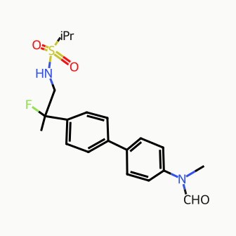 CC(C)S(=O)(=O)NCC(C)(F)c1ccc(-c2ccc(N(C)C=O)cc2)cc1